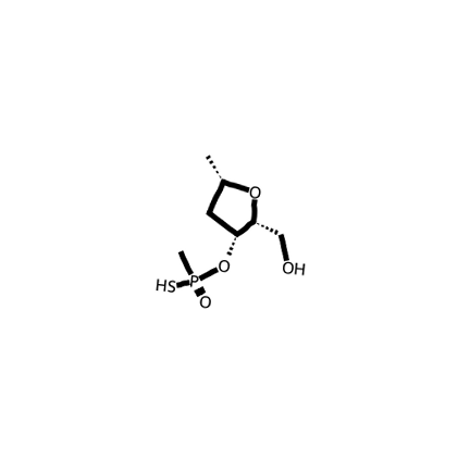 C[C@H]1C[C@@H](OP(C)(=O)S)[C@@H](CO)O1